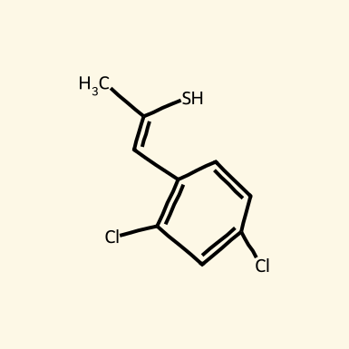 CC(S)=Cc1ccc(Cl)cc1Cl